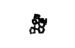 CCNC(=O)c1c(F)cccc1C1(C)CCCC1